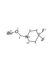 CCC(C)OCN1CCC(F)(F)CC1